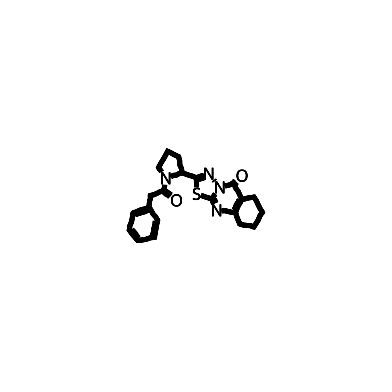 O=C(Cc1ccccc1)N1CCCC1c1nn2c(=O)c3c(nc2s1)CCCC3